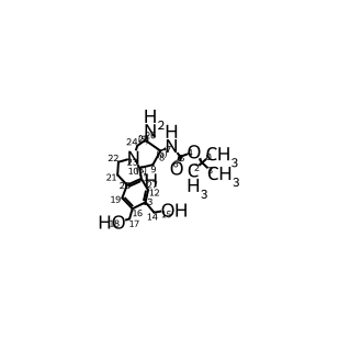 CC(C)(C)OC(=O)N[C@H]1C[C@H]2c3cc(CO)c(CO)cc3CCN2C[C@@H]1N